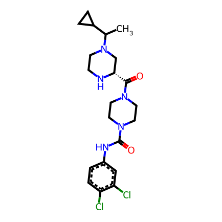 CC(C1CC1)N1CCN[C@@H](C(=O)N2CCN(C(=O)Nc3ccc(Cl)c(Cl)c3)CC2)C1